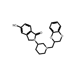 N#Cc1ccc2c(c1)CN(C1CCCN(CC3COc4ccccc4O3)C1)C2=O